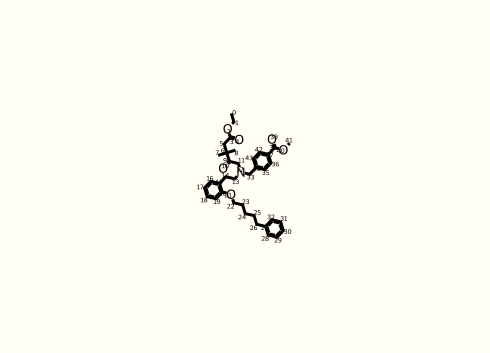 CCOC(=O)CC(C)(C)C(=O)CN(CCc1ccccc1OCCCCCc1ccccc1)Cc1ccc(C(=O)OC)cc1